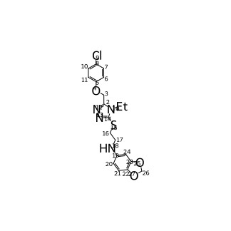 CCn1c(COc2ccc(Cl)cc2)nnc1SCCNc1ccc2c(c1)OCO2